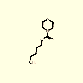 CCCCCOC(=O)N1CC[N]CC1